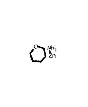 C1CCOCC1.[NH2][Zn]